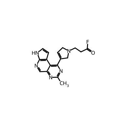 Cc1nc(C2=CCN(CCC(=O)F)C2)c2c(cnc3[nH]ccc32)n1